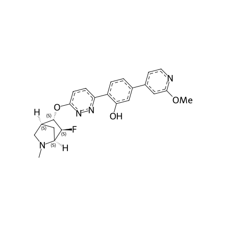 COc1cc(-c2ccc(-c3ccc(O[C@H]4[C@H]5C[C@@H]([C@@H]4F)N(C)C5)nn3)c(O)c2)ccn1